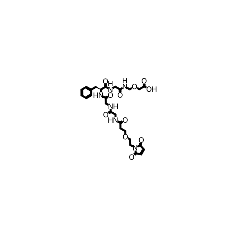 O=C(O)COCNC(=O)CNC(=O)[C@H](Cc1ccccc1)NC(=O)CNC(=O)CNC(=O)CCOCCN1C(=O)C=CC1=O